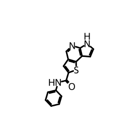 O=C(Nc1ccccc1)c1cc2cnc3[nH]ccc3c2s1